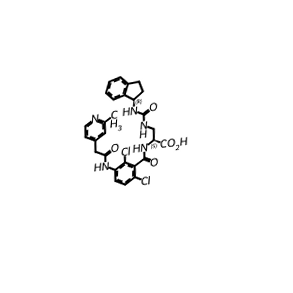 Cc1cc(CC(=O)Nc2ccc(Cl)c(C(=O)N[C@@H](CNC(=O)N[C@@H]3CCc4ccccc43)C(=O)O)c2Cl)ccn1